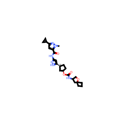 Cn1nc(C2CC2)cc1C(=O)Nc1cc([C@H]2CC[C@@H](OC(=O)NC3COC4(CCC4)C3)C2)[nH]n1